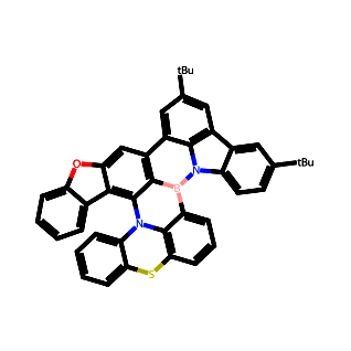 CC(C)(C)c1ccc2c(c1)c1cc(C(C)(C)C)cc3c1n2B1c2cccc4c2N(c2ccccc2S4)c2c1c-3cc1oc3ccccc3c21